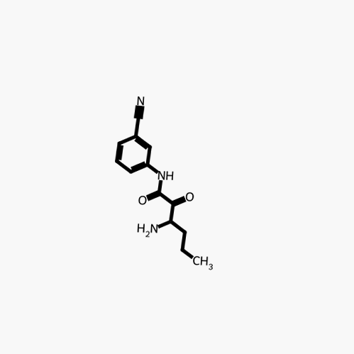 CCCC(N)C(=O)C(=O)Nc1cccc(C#N)c1